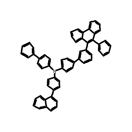 c1ccc(-c2ccc(N(c3ccc(-c4cccc(-c5c(-c6ccccc6)c6ccccc6c6ccccc56)c4)cc3)c3ccc(-c4cccc5ccccc45)cc3)cc2)cc1